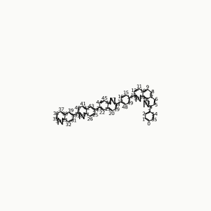 c1ccc(-c2ccc3ccc4ccc(-c5ccc(-c6ccc7cc(-c8ccc9nc(-c%10ccc%11ncccc%11c%10)ccc9c8)ccc7n6)cc5)nc4c3n2)cc1